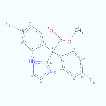 COC(=O)C(c1ccc(F)cc1)(c1ccc(F)cc1)c1ncc[nH]1